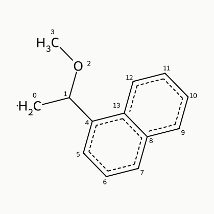 [CH2]C(OC)c1cccc2ccccc12